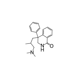 CC(CN(C)C)CC1(c2ccccc2)CNC(=O)c2ccccc21